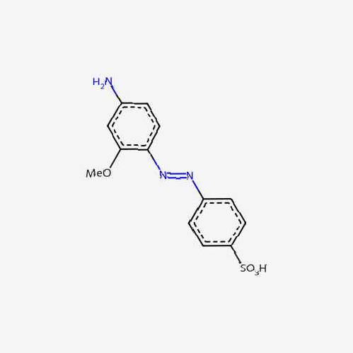 COc1cc(N)ccc1N=Nc1ccc(S(=O)(=O)O)cc1